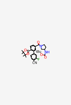 CC(C)(C)OC(=O)NC1CCN(C(=O)c2ccc(B3OC(C)(C)C(C)(C)O3)c(-c3ccc(C#N)c(F)c3)c2)C1